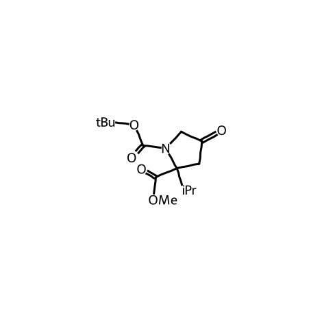 COC(=O)C1(C(C)C)CC(=O)CN1C(=O)OC(C)(C)C